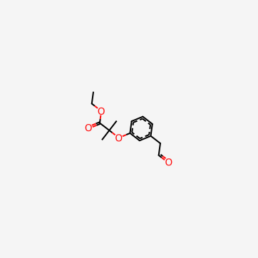 CCOC(=O)C(C)(C)Oc1cccc(CC=O)c1